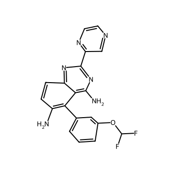 Nc1ccc2nc(-c3cnccn3)nc(N)c2c1-c1cccc(OC(F)F)c1